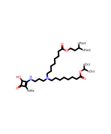 CCCCCCCCC(CCCCCCCC)OC(=O)CCCCCCCN(CCCCCCCC(=O)OCCC(CCCCC)CCCCC)CCCNC1=C(NC)C(=O)C1O